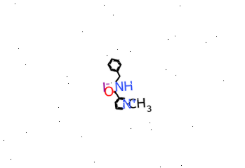 C[n+]1cccc(C(=O)NCCc2ccccc2)c1.[I-]